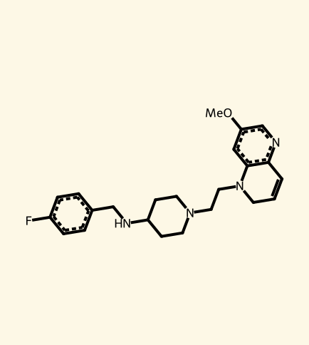 COc1cnc2c(c1)N(CCN1CCC(NCc3ccc(F)cc3)CC1)CC=C2